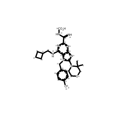 CC1(C)COCCN1c1nc2nc(C(=N)NC(=O)O)nc(NCC3CCC3)c2n1Cc1ccc(C(F)(F)F)cc1